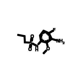 CCCS(=O)(=O)Nc1ccc(F)c(N)c1OC